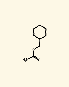 NC(=O)O[CH]C1CCCCC1